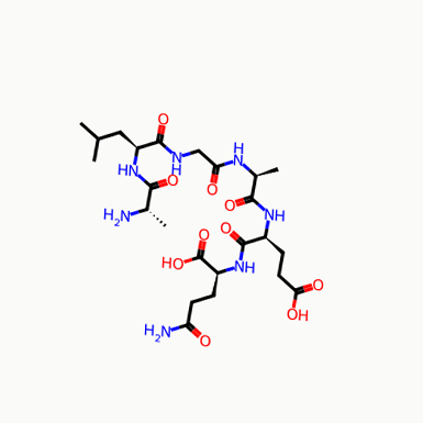 CC(C)C[C@H](NC(=O)[C@H](C)N)C(=O)NCC(=O)N[C@@H](C)C(=O)N[C@@H](CCC(=O)O)C(=O)N[C@@H](CCC(N)=O)C(=O)O